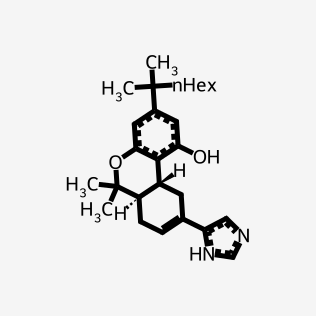 CCCCCCC(C)(C)c1cc(O)c2c(c1)OC(C)(C)[C@@H]1CC=C(c3cnc[nH]3)C[C@@H]21